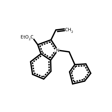 C=Cc1c(C(=O)OCC)c2ccccc2n1Cc1ccccc1